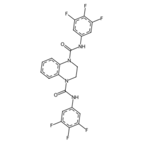 O=C(Nc1cc(F)c(F)c(F)c1)N1CCN(C(=O)Nc2cc(F)c(F)c(F)c2)c2ccccc21